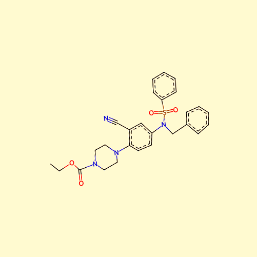 CCOC(=O)N1CCN(c2ccc(N(Cc3ccccc3)S(=O)(=O)c3ccccc3)cc2C#N)CC1